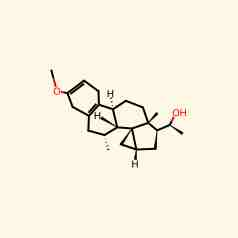 COC1=CCC2=C(C1)C[C@@H](C)[C@@H]1[C@@H]2CC[C@]2(C)[C@@H]([C@H](C)O)C[C@@H]3C[C@@]312